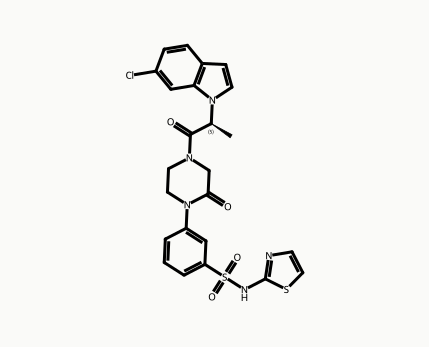 C[C@@H](C(=O)N1CCN(c2cccc(S(=O)(=O)Nc3nccs3)c2)C(=O)C1)n1ccc2ccc(Cl)cc21